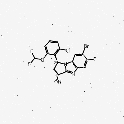 O[C@H]1C[C@@H](c2c(Cl)cccc2OC(F)F)n2c1nc1cc(F)c(Br)cc12